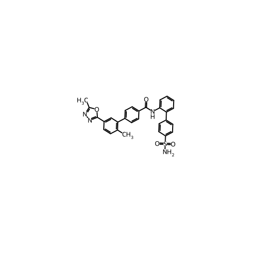 Cc1nnc(-c2ccc(C)c(-c3ccc(C(=O)Nc4ccccc4-c4ccc(S(N)(=O)=O)cc4)cc3)c2)o1